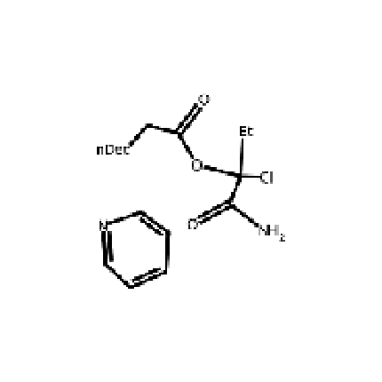 CCCCCCCCCCCC(=O)OC(Cl)(CC)C(N)=O.c1ccncc1